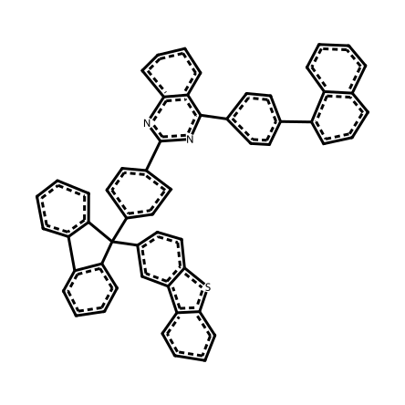 c1ccc2c(c1)-c1ccccc1C2(c1ccc(-c2nc(-c3ccc(-c4cccc5ccccc45)cc3)c3ccccc3n2)cc1)c1ccc2sc3ccccc3c2c1